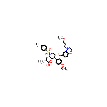 COCCCN1CCOc2ccc(CO[C@H]3CN(S(=O)(=O)c4ccc(C)cc4)[C@@H](C[C@@H](C)C(=O)O)C[C@@H]3c3ccc(OC)cc3)cc21